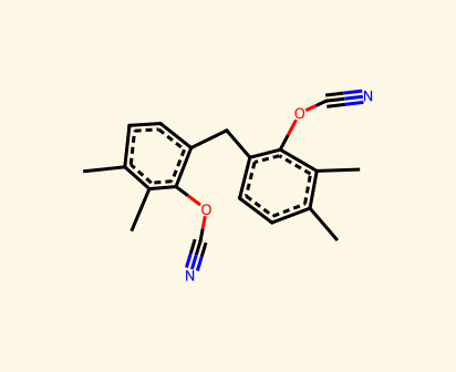 Cc1ccc(Cc2ccc(C)c(C)c2OC#N)c(OC#N)c1C